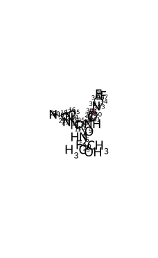 CC(C)(O)[C@H](F)CNC(=O)c1cnc(-c2ccc3cc(C#N)cnn23)cc1NC12CCC(N3CCC(F)(F)CC3)(CC1)CC2